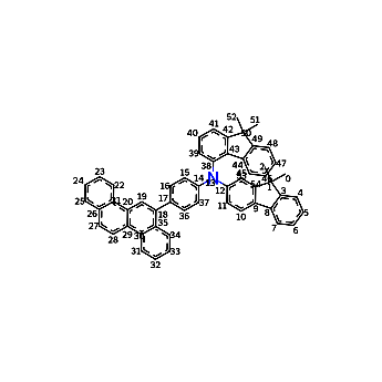 CC1(C)c2ccccc2-c2ccc(N(c3ccc(-c4cc5c6ccccc6ccc5c5ccccc45)cc3)c3cccc4c3-c3ccccc3C4(C)C)cc21